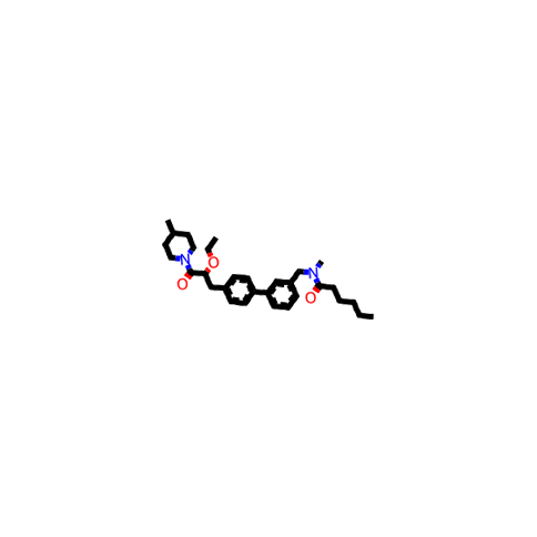 CCCCCC(=O)N(C)Cc1cccc(-c2ccc(CC(OCC)C(=O)N3CCC(C)CC3)cc2)c1